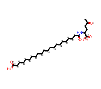 CC(=O)CCC(NC(=O)CCCCCCCCCCCCCCCCCCCCC(=O)O)C(=O)O